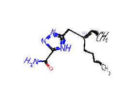 C=CCC/C(=C\C)Cc1nnc(C(N)=O)[nH]1